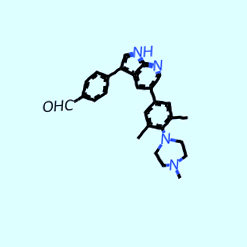 Cc1cc(-c2cnc3[nH]cc(-c4ccc(C=O)cc4)c3c2)cc(C)c1N1CCN(C)CC1